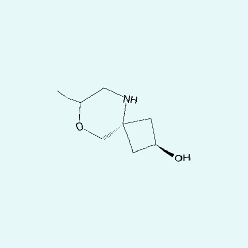 CC1CN[C@]2(CO1)C[C@H](O)C2